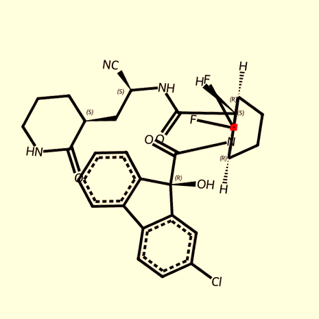 N#C[C@H](C[C@@H]1CCCNC1=O)NC(=O)[C@@H]1[C@H]2CC[C@H](CC2(F)F)N1C(=O)[C@@]1(O)c2ccccc2-c2ccc(Cl)cc21